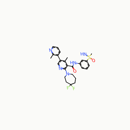 Cc1ncccc1-c1cnc(N2CCCC(F)(F)CC2)c(C(=O)Nc2cccc(S(C)(=N)=O)c2)c1C